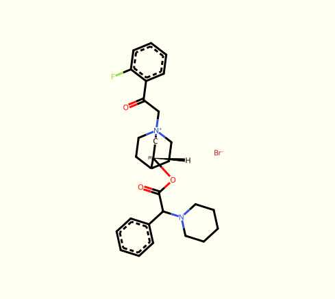 O=C(C[N+]12CCC(CC1)[C@@H](OC(=O)C(c1ccccc1)N1CCCCC1)C2)c1ccccc1F.[Br-]